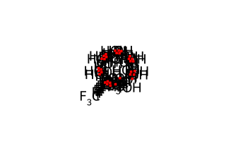 FC(F)(F)C(F)(F)C(F)(F)C(F)(F)C(F)(F)C(F)(F)F.OC[C@H]1O[C@@H]2O[C@H]3[C@H](O)[C@@H](O)[C@@H](O[C@H]4[C@H](O)[C@@H](O)[C@@H](O[C@H]5[C@H](O)[C@@H](O)[C@@H](O[C@H]6[C@H](O)[C@@H](O)[C@@H](O[C@H]7[C@H](O)[C@@H](O)[C@@H](O[C@H]8[C@H](O)[C@@H](O)[C@@H](O[C@H]1[C@H](O)[C@H]2O)O[C@@H]8CO)O[C@@H]7CO)O[C@@H]6CO)O[C@@H]5CO)O[C@@H]4CO)O[C@@H]3CO